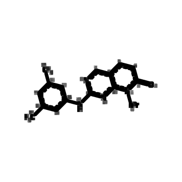 CCCn1c(=O)ccc2cnc(Nc3cc(C(F)(F)F)cc(C(F)(F)F)c3)nc21